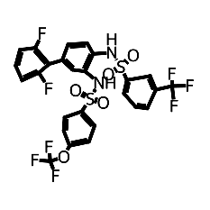 O=S(=O)(Nc1ccc(-c2c(F)cccc2F)cc1NS(=O)(=O)c1ccc(OC(F)(F)F)cc1)c1cccc(C(F)(F)F)c1